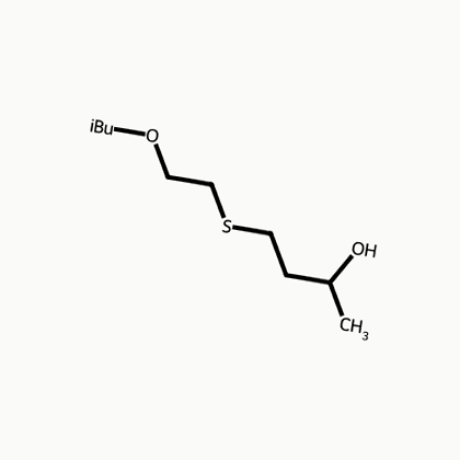 CCC(C)OCCSCCC(C)O